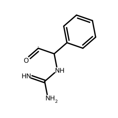 N=C(N)NC([C]=O)c1ccccc1